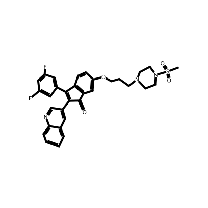 CS(=O)(=O)N1CCN(CCCOc2ccc3c(c2)C(=O)C(c2cnc4ccccc4c2)=C3c2cc(F)cc(F)c2)CC1